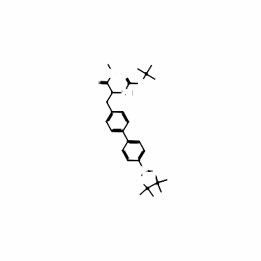 COC(=O)C(Cc1ccc(-c2ccc(B3OC(C)(C)C(C)(C)O3)cc2)cc1)NC(=O)OC(C)(C)C